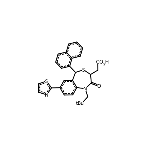 CC(C)(C)CN1C(=O)C(CC(=O)O)SC(c2cccc3ccccc23)c2cc(-c3nccs3)ccc21